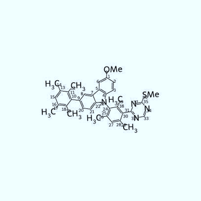 COc1ccc2c(c1)c1cc(-c3c(C)c(C)cc(C)c3C)ccc1n2-c1c(C)cc(C)c(-c2ncnc(SC)n2)c1C